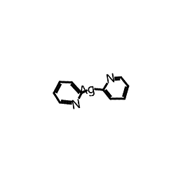 c1cc[c]([Ag][c]2ccccn2)nc1